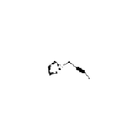 CC#CCn1[c]ccn1